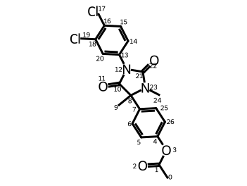 CC(=O)Oc1ccc(C2(C)C(=O)N(c3ccc(Cl)c(Cl)c3)C(=O)N2C)cc1